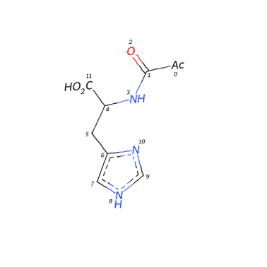 CC(=O)C(=O)NC(Cc1c[nH]cn1)C(=O)O